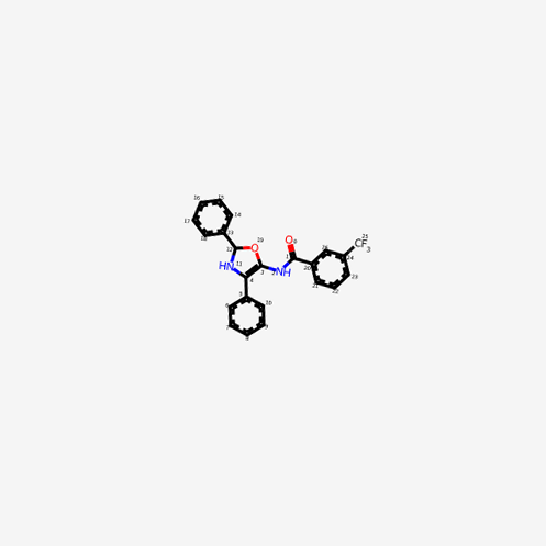 O=C(NC1=C(c2ccccc2)NC(c2ccccc2)O1)c1cccc(C(F)(F)F)c1